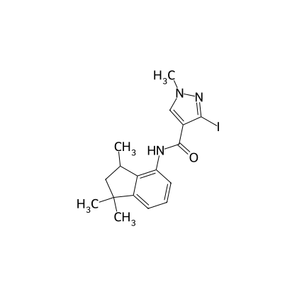 CC1CC(C)(C)c2cccc(NC(=O)c3cn(C)nc3I)c21